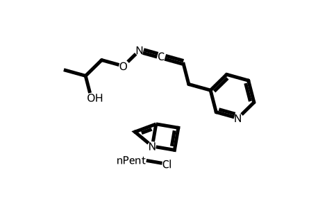 CC(O)CON=C=CCc1cccnc1.CCCCCCl.c1cn2cc1-2